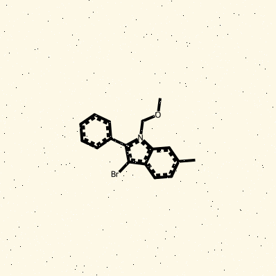 COCn1c(-c2ccccc2)c(Br)c2ccc(C)cc21